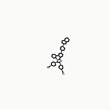 N#Cc1ccc(-c2nc3c4ccc(-c5ccc(-c6ccc7ccccc7c6)cc5)cc4c4ccccc4n3c2-c2ccc(C#N)cc2)cc1